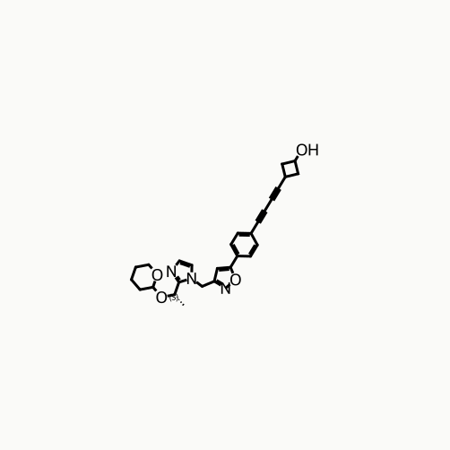 C[C@H](OC1CCCCO1)c1nccn1Cc1cc(-c2ccc(C#CC#CC3CC(O)C3)cc2)on1